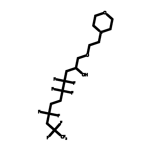 OC(COCCN1CCOCC1)CC(F)(F)C(F)(F)CCC(F)(F)CC(F)(F)C(F)(F)F